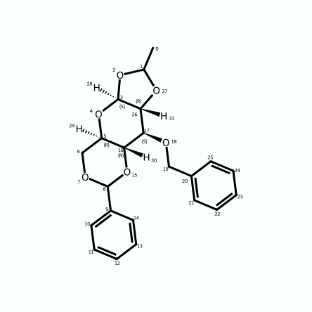 CC1O[C@@H]2O[C@@H]3COC(c4ccccc4)O[C@H]3[C@H](OCc3ccccc3)[C@H]2O1